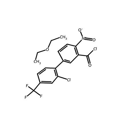 CCOCC.O=C(Cl)c1cc(-c2ccc(C(F)(F)F)cc2Cl)ccc1[N+](=O)[O-]